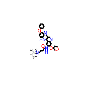 CN(C)C/C=C/C(=O)Nc1cc2c(Nc3ccc(Oc4ccccc4)cc3)c(C#N)cnc2cc1OC1CCOC1